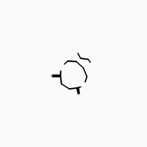 O=C1CCC(=O)OCCCCO1.OCCO